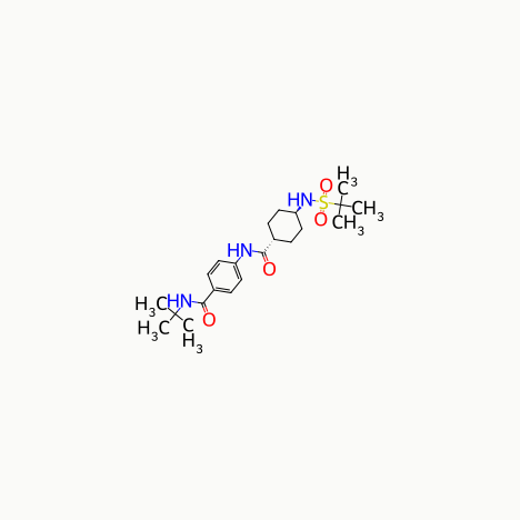 CC(C)(C)NC(=O)c1ccc(NC(=O)[C@H]2CC[C@H](NS(=O)(=O)C(C)(C)C)CC2)cc1